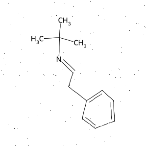 CC(C)(C)/N=C/Cc1ccccc1